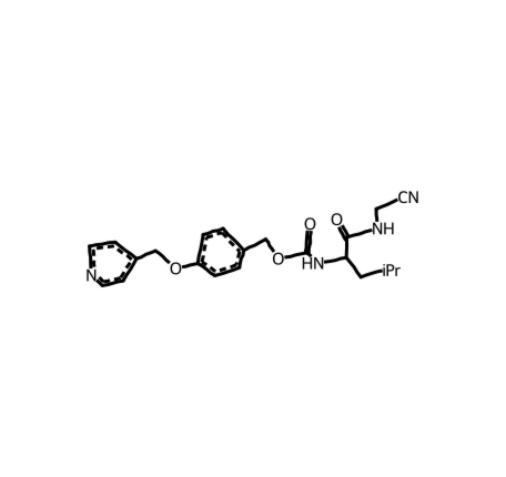 CC(C)CC(NC(=O)OCc1ccc(OCc2ccncc2)cc1)C(=O)NCC#N